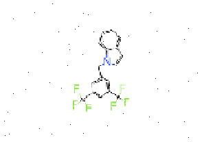 FC(F)(F)c1cc(Cn2ccc3ccccc32)cc(C(F)(F)F)c1